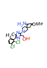 CO[C@H]1C[C@@H](N)C2(CCN(c3nc(C)c(-c4cccc(Cl)c4Cl)nc3CO)CC2)C1